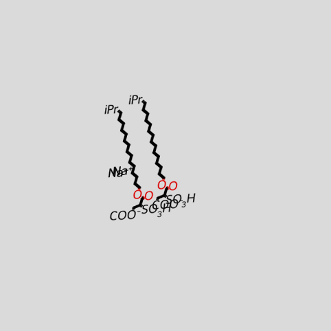 CC(C)CCCCCCCCCCCCCCCOC(=O)C(CC(=O)[O-])S(=O)(=O)O.CC(C)CCCCCCCCCCCCCCCOC(=O)C(CC(=O)[O-])S(=O)(=O)O.[Na+].[Na+]